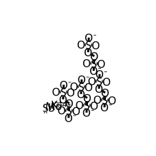 O=S(=O)([O-])OOS(=O)(=O)[O-].O=S(=O)([O-])OOS(=O)(=O)[O-].O=S(=O)([O-])OOS(=O)(=O)[O-].O=S(=O)([O-])OOS(=O)(=O)[O-].[K+].[Mo+4].[Sb+3]